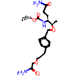 C[C@@H](OCc1ccc(CCOCC(N)=O)cc1)[C@H](CCC(N)=O)NC(=O)OC(C)(C)C